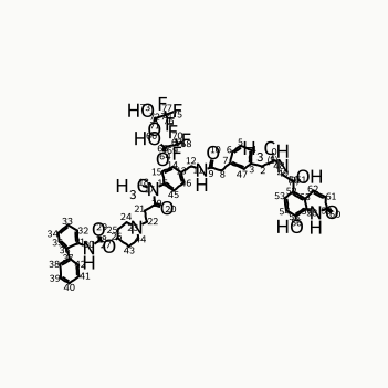 C[C@@H](Cc1cccc(CC(=O)NCc2ccc(N(C)C(=O)CCN3CCC(OC(=O)Nc4ccccc4-c4ccccc4)CC3)cc2)c1)NC[C@H](O)c1ccc(O)c2[nH]c(=O)ccc12.O=C(O)C(F)(F)F.O=C(O)C(F)(F)F